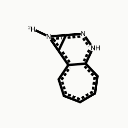 [2H]n1c2n[nH]c3cccccc-3c1-2